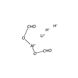 O=C[O][Al+][O]C=O.[H-].[H-].[Li+]